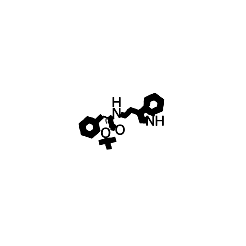 CC(C)(C)OC(=O)[C@H](Cc1ccccc1)NCCc1c[nH]c2ccccc12